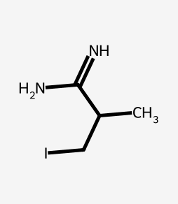 CC(CI)C(=N)N